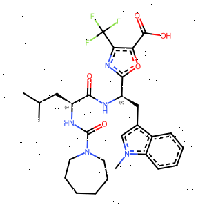 CC(C)C[C@H](NC(=O)N1CCCCCC1)C(=O)N[C@H](Cc1cn(C)c2ccccc12)c1nc(C(F)(F)F)c(C(=O)O)o1